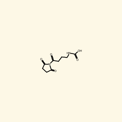 O=C(O)NCCCC(=O)N1C(=O)CCC1=O